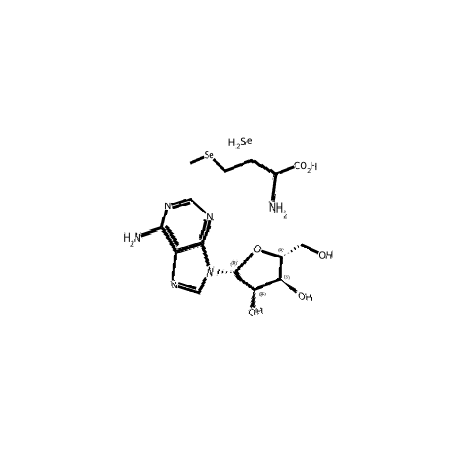 C[Se]CCC(N)C(=O)O.Nc1ncnc2c1ncn2[C@@H]1O[C@H](CO)[C@@H](O)[C@H]1O.[SeH2]